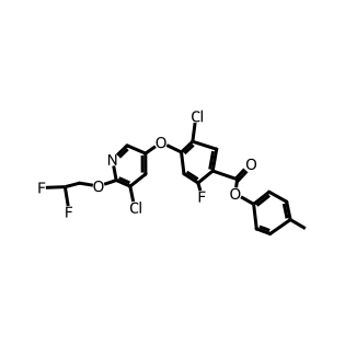 Cc1ccc(OC(=O)c2cc(Cl)c(Oc3cnc(OCC(F)F)c(Cl)c3)cc2F)cc1